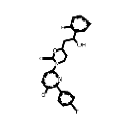 O=C1OC(CC(O)c2ccccc2F)CCN1c1ccc(Cl)c(-c2ccc(F)cc2)n1